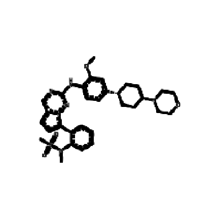 COc1cc([C@H]2CC[C@H](N3CCOCC3)CC2)ccc1Nc1ncc2ccc(-c3ccccc3N(C)S(C)(=O)=O)n2n1